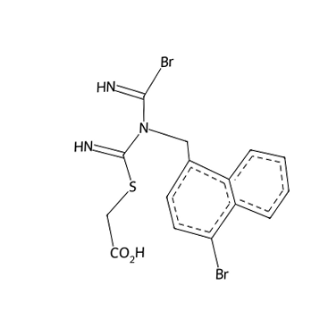 N=C(Br)N(Cc1ccc(Br)c2ccccc12)C(=N)SCC(=O)O